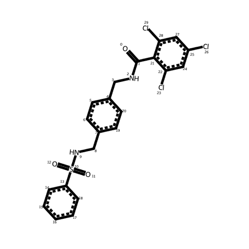 O=C(NCc1ccc(CNS(=O)(=O)c2ccccc2)cc1)c1c(Cl)cc(Cl)cc1Cl